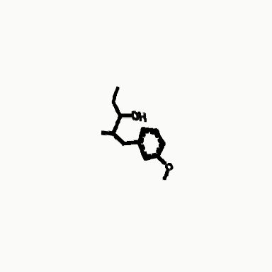 CCC(O)C(C)Cc1cccc(OC)c1